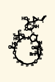 C=C[C@@H]1C[C@]1(NC(=O)[C@@H]1C[C@@H]2CN1C(=O)[C@H](C(C)(C)C)NC(=O)OCC=CCCOc1cnn2c(=O)c1Br)C(=O)O